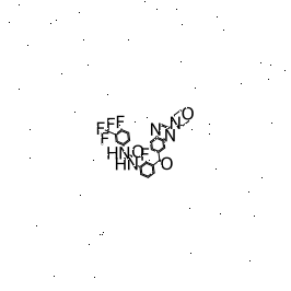 O=C(Nc1ccc(F)c(C(F)(F)F)c1)Nc1cccc(C(=O)c2ccc3ncc(N4CCOCC4)nc3c2)c1F